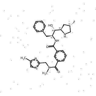 Cc1csc(CN(C)C(=O)c2cccc(C(=O)N[C@@H](Cc3ccccc3)[C@H](O)[C@H]3C[C@H](F)CN3)c2)n1